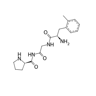 Cc1ccccc1C[C@@H](N)C(=O)NCC(=O)NC(=O)[C@H]1CCCN1